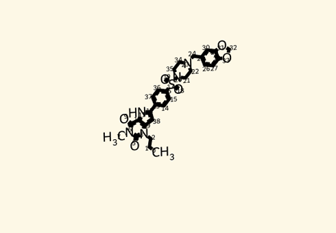 CCCn1c(=O)n(C)c(=O)c2[nH]c(-c3ccc(S(=O)(=O)N4CCN(Cc5ccc6c(c5)OCO6)CC4)cc3)cc21